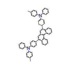 Cc1ccc(N(C2=CCC(c3cc4cc(-c5ccc(N(c6ccccc6)c6ccc(C)cc6)cc5)c5ccccc5c4c4ccccc34)C=C2)c2ccccc2)cc1